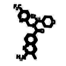 CC[C@@H](C1CCOCC1)N(Cc1ccc(C(F)(F)F)cn1)C(=O)c1ccc2nc(N)c(C)cc2c1